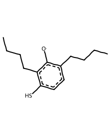 CCCCc1ccc(S)c(CCCC)c1[O]